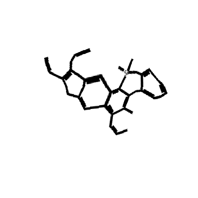 C=CC1=C(C=C)c2cc3c4c(c(C)c(/C=C\C)c3cc2C1)-c1ccccc1[Si]4(C)C